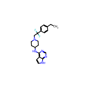 CCc1ccc(C(F)(F)CN2CCC(Nc3ncnc4[nH]ccc34)CC2)cc1